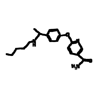 CCCCCNC(C)c1ccc(Oc2ccc(C(N)=O)cn2)cc1